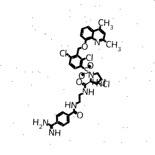 Cc1cc(C)c2cccc(OCc3c(Cl)ccc(S(=O)(=O)N4CCC[C@H]4C(=O)NCCNC(=O)c4ccc(C(=N)N)cc4)c3Cl)c2n1.Cl.Cl